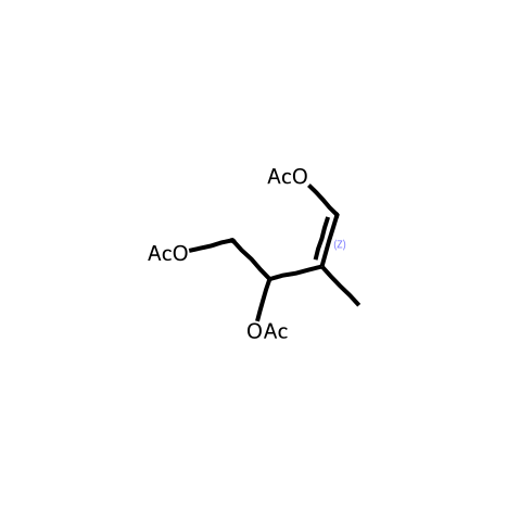 CC(=O)O/C=C(/C)C(COC(C)=O)OC(C)=O